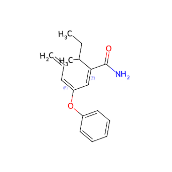 C=C/C=C(\C=C(\C(N)=O)C(C)CC)Oc1ccccc1